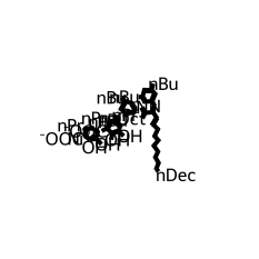 CCCCCCCCCCCCCCCCCCC=CC(=Nc1cc(CCCC)cc(CCCC)c1)C(CCCCCCCC)=Nc1cc(CCCC)cc(CCCC)c1.CCCc1cc(O)c(O)c(C(=O)[O-])c1CCC.CCCc1cc(O)c(O)c(C(=O)[O-])c1CCC.[Ni+2]